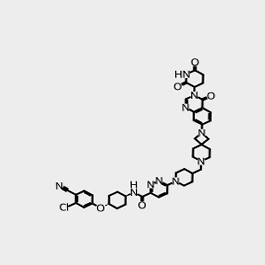 N#Cc1ccc(O[C@H]2CC[C@H](NC(=O)c3ccc(N4CCC(CN5CCC6(CC5)CN(c5ccc7c(=O)n(C8CCC(=O)NC8=O)cnc7c5)C6)CC4)nn3)CC2)cc1Cl